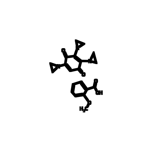 COc1ccccc1C(=O)O.O=C1C=C(N2CC2)C(=O)C(N2CC2)=C1N1CC1